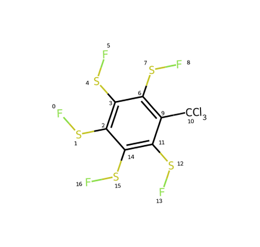 FSc1c(SF)c(SF)c(C(Cl)(Cl)Cl)c(SF)c1SF